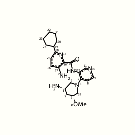 CO[C@@H]1C[C@H](N)CN(c2ccncc2NC(=O)c2nc(C3CCCCC3)ccc2N)C1